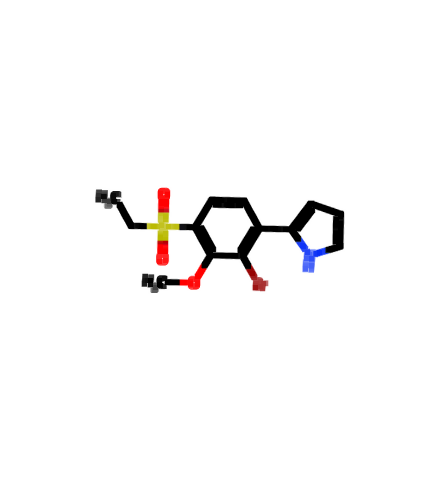 CCS(=O)(=O)c1ccc(-c2ccc[nH]2)c(Br)c1OC